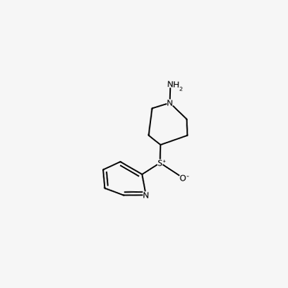 NN1CCC([S+]([O-])c2ccccn2)CC1